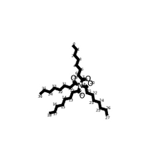 CCCCCCCC(=O)[N+](C(=O)CCCCCCC)(C(=O)CCCCCCC)C(=O)CCCCCCC